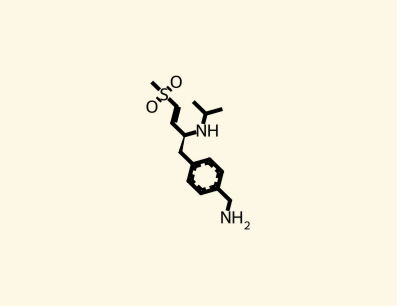 CC(C)N[C@H](/C=C/S(C)(=O)=O)Cc1ccc(CN)cc1